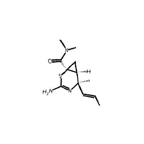 C/C=C/[C@@]1(C)N=C(N)S[C@@]2(C(=O)N(C)C)C[C@@H]12